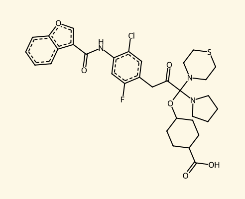 O=C(Nc1cc(F)c(CC(=O)C(OC2CCC(C(=O)O)CC2)(N2CCCC2)N2CCSCC2)cc1Cl)c1coc2ccccc12